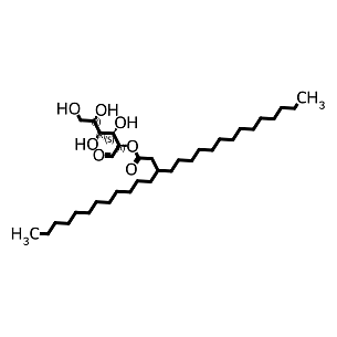 CCCCCCCCCCCCCCC(CCCCCCCCCCCC)CC(=O)O[C@@H](C=O)[C@@H](O)[C@H](O)[C@H](O)CO